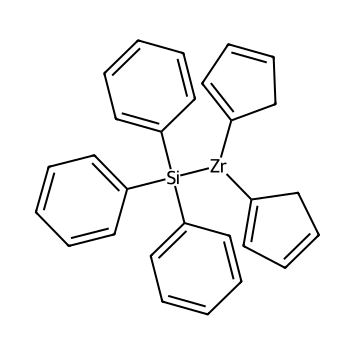 C1=CC[C]([Zr]([C]2=CC=CC2)[Si](c2ccccc2)(c2ccccc2)c2ccccc2)=C1